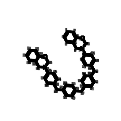 c1ccc2c(c1)CN(c1ccc(Cc3ccc(Cc4ccc(Cc5ccc(N6COc7ccccc7C6)cc5)cc4)cc3)cc1)CO2